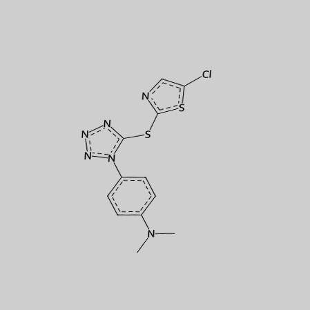 CN(C)c1ccc(-n2nnnc2Sc2ncc(Cl)s2)cc1